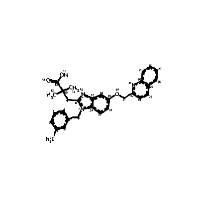 Cc1cccc(Cn2c(CC(C)(C)C(=O)O)nc3cc(OCc4ccc5ccccc5n4)ccc32)c1